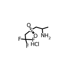 CC(N)CS(=O)(=O)CC(F)(F)F.Cl